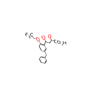 O=C(O)C(=O)CC(=O)c1cc(Cc2ccccc2)ccc1OCC(F)(F)F